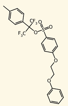 Cc1ccc(C(OS(=O)(=O)c2ccc(OCCOc3ccccc3)cc2)(C(F)(F)F)C(F)(F)F)cc1